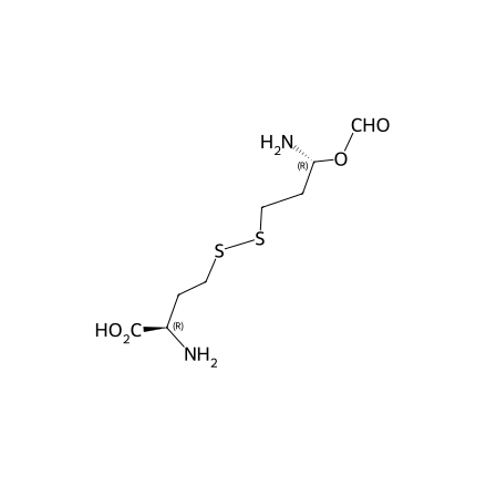 N[C@H](CCSSCC[C@H](N)OC=O)C(=O)O